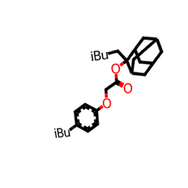 CCC(C)CC1(OC(=O)COc2ccc(C(C)CC)cc2)C2CC3CC(C2)CC1C3